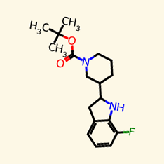 CC(C)(C)OC(=O)N1CCCC(C2Cc3cccc(F)c3N2)C1